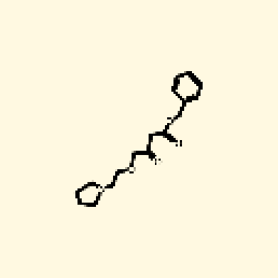 O=C(COCCN1CCCC1)CC(=O)OCc1ccccc1